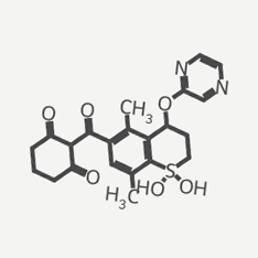 Cc1cc(C(=O)C2C(=O)CCCC2=O)c(C)c2c1S(O)(O)CCC2Oc1cnccn1